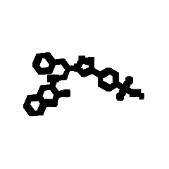 NS(=O)(=O)c1ccc(-c2cn([C@@H](CNC(Cc3ccccc3)C(=O)O)Cc3ccccc3)nn2)cc1